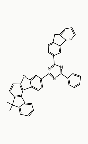 CC1(C)c2ccccc2-c2c1ccc1oc3cc(-c4nc(-c5ccccc5)nc(-c5ccc6c(c5)-c5ccccc5C6)n4)ccc3c21